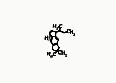 CCC(C)[C]1C=Cc2cc3c(cc21)CC(C)(C)C3.[Hf]